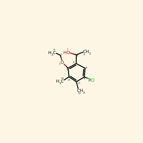 CCOc1c(C(C)O)cc(Cl)c(C)c1C